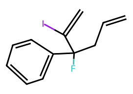 C=CCC(F)(C(=C)I)c1ccccc1